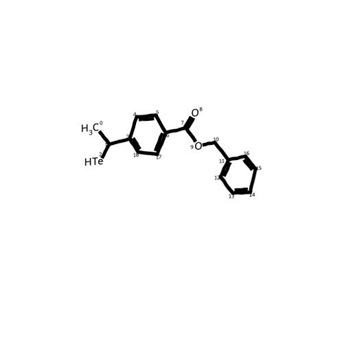 CC([TeH])c1ccc(C(=O)OCc2ccccc2)cc1